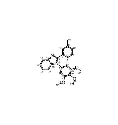 COc1cc(-n2c(-c3cccc(C)c3)nc3ccccc32)cc(OC)c1OC